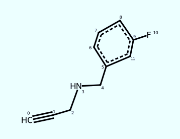 C#CCNCc1cccc(F)c1